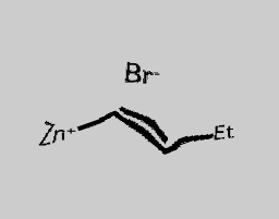 CCC=[CH][Zn+].[Br-]